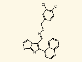 Clc1ccc(CON=Cc2c(-c3cccc4ccccc34)nc3sccn23)cc1Cl